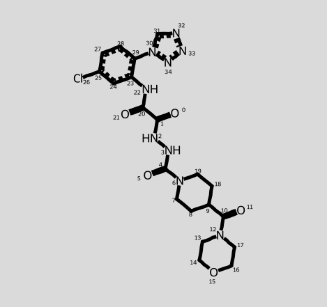 O=C(NNC(=O)N1CCC(C(=O)N2CCOCC2)CC1)C(=O)Nc1cc(Cl)ccc1-n1cnnn1